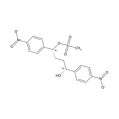 CS(=O)(=O)O[C@H](CC[C@@H](O)c1ccc([N+](=O)[O-])cc1)c1ccc([N+](=O)[O-])cc1